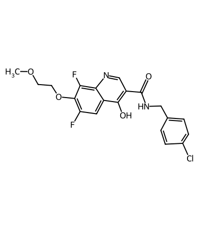 COCCOc1c(F)cc2c(O)c(C(=O)NCc3ccc(Cl)cc3)cnc2c1F